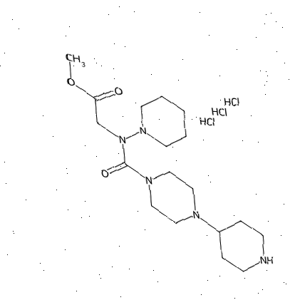 COC(=O)CN(C(=O)N1CCN(C2CCNCC2)CC1)N1CCCCC1.Cl.Cl.Cl